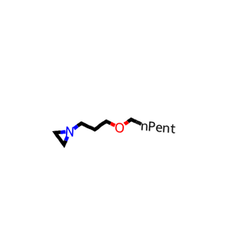 CCCCCCOCCCN1CC1